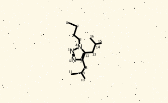 CCCCn1nnc(CC(C)C)c1CC(C)C